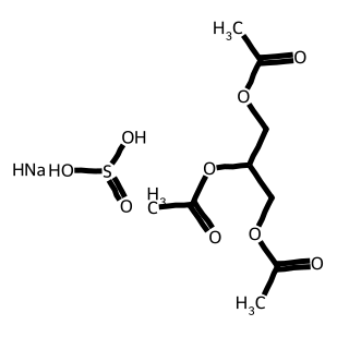 CC(=O)OCC(COC(C)=O)OC(C)=O.O=S(O)O.[NaH]